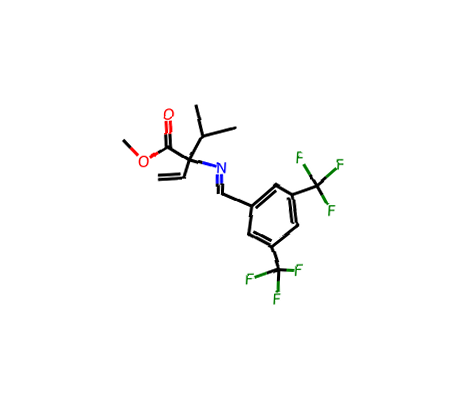 C=CC(N=Cc1cc(C(F)(F)F)cc(C(F)(F)F)c1)(C(=O)OC)C(C)C